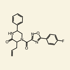 C=CCC1C(=O)NC(c2ccccc2)CN1C(=O)c1noc(-c2ccc(F)cc2)n1